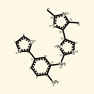 CCCc1ccc(-c2ncco2)cc1Nc1nc(-c2sc(C)nc2C)cs1